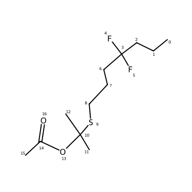 CCCC(F)(F)CCCSC(C)(C)OC(C)=O